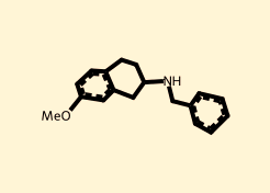 COc1ccc2c(c1)CC(NCc1ccccc1)CC2